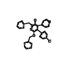 O=c1c(-c2ccncc2)c(-c2ccc(Cl)cc2)c(OCc2ccccc2)nn1Cc1ccccc1